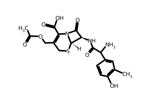 CC(=O)OCC1=C(C(=O)O)N2C(=O)[C@@H](NC(=O)C(N)c3ccc(O)c(C)c3)[C@H]2SC1